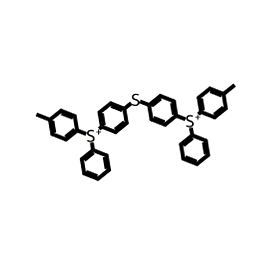 Cc1ccc([S+](c2ccccc2)c2ccc(Sc3ccc([S+](c4ccccc4)c4ccc(C)cc4)cc3)cc2)cc1